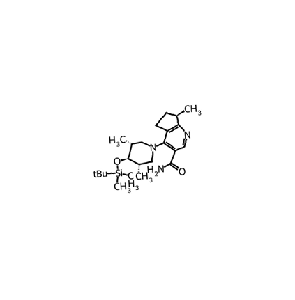 C[C@@H]1CCc2c1ncc(C(N)=O)c2N1C[C@@H](C)[C@H](O[Si](C)(C)C(C)(C)C)[C@@H](C)C1